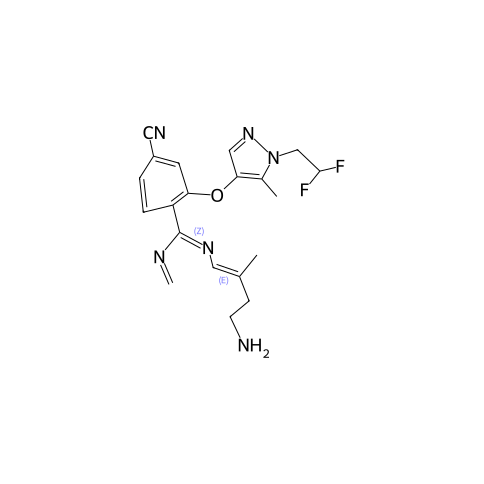 C=N/C(=N\C=C(/C)CCN)c1ccc(C#N)cc1Oc1cnn(CC(F)F)c1C